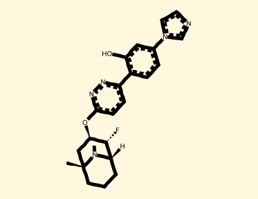 CN1[C@H]2CCC[C@]1(C)C[C@@H](Oc1ccc(-c3ccc(-n4ccnc4)cc3O)nn1)[C@@H]2F